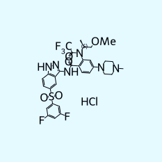 COC[C@H](C)N(C(=O)C(F)(F)F)c1cc(N2CCN(C)CC2)ccc1C(=O)Nc1n[nH]c2ccc(S(=O)(=O)c3cc(F)cc(F)c3)cc12.Cl